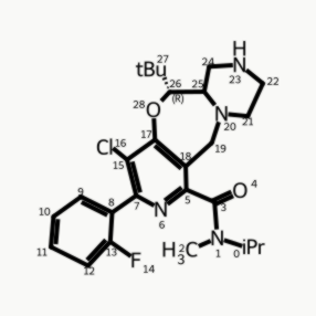 CC(C)N(C)C(=O)c1nc(-c2ccccc2F)c(Cl)c2c1CN1CCNCC1[C@@H](C(C)(C)C)O2